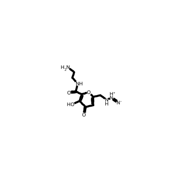 [N-]=[NH+]NCc1cc(=O)c(O)c(C(=O)NCCN)o1